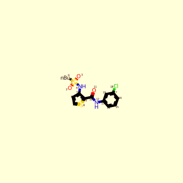 CCCCS(=O)(=O)Nc1ccsc1C(=O)Nc1cccc(Cl)c1